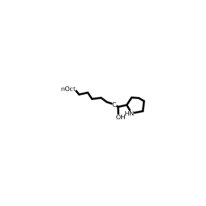 CCCCCCCCCCCCCCC(O)C1CCCCN1